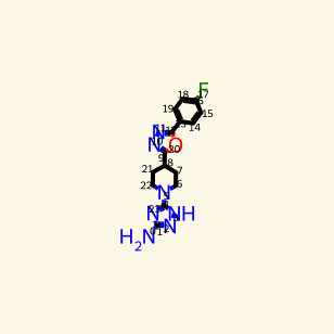 Nc1n[nH]c(N2CCC(c3nnc(-c4ccc(F)cc4)o3)CC2)n1